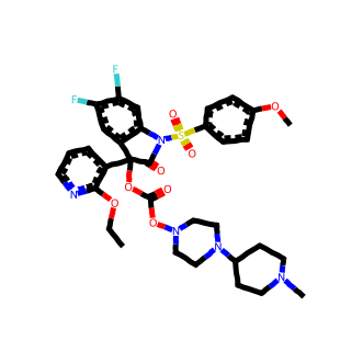 CCOc1ncccc1C1(OC(=O)ON2CCN(C3CCN(C)CC3)CC2)C(=O)N(S(=O)(=O)c2ccc(OC)cc2)c2cc(F)c(F)cc21